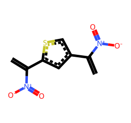 C=C(c1csc(C(=C)[N+](=O)[O-])c1)[N+](=O)[O-]